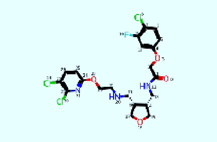 O=C(COc1ccc(Cl)c(F)c1)NC[C@@H]1COC[C@@H]1CNCCOc1ccc(Cl)c(Cl)n1